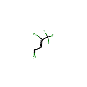 FC(=CCCl)C(F)(F)F